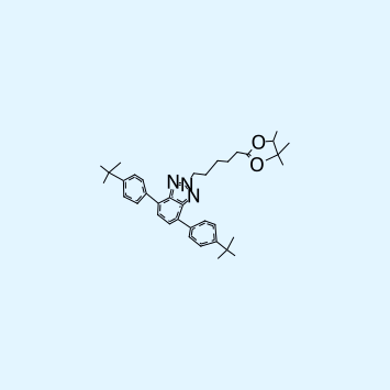 CC(OC(=O)CCCCCn1nc2c(-c3ccc(C(C)(C)C)cc3)ccc(-c3ccc(C(C)(C)C)cc3)c2n1)C(C)(C)C